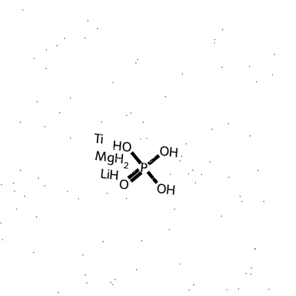 O=P(O)(O)O.[LiH].[MgH2].[Ti]